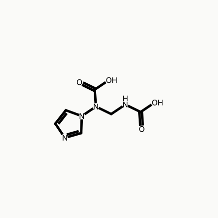 O=C(O)NCN(C(=O)O)n1ccnc1